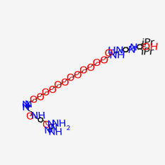 CC(C)c1cc(/N=N/c2ccc(NCCNC(=O)CCOCCOCCOCCOCCOCCOCCOCCOCCOCCOCCOCCOCCn3cc(CCC(=O)NCc4ccc(COc5nc(N)nc6[nH]cnc56)cc4)nn3)cc2)cc(C(C)C)c1O